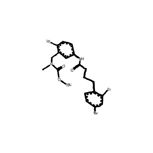 CCc1cc(Br)ccc1CCCC(=O)Nc1ccc(S)c(CN(C)C(=O)OC(C)(C)C)c1